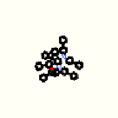 c1ccc(-c2ccc(N(c3ccc(-c4ccccc4)cc3)c3cc(N(c4ccc(-c5ccccc5)cc4)c4ccc(-c5ccccc5)cc4)cc(C4(c5cc(-c6ccccc6)cc(-c6ccccc6)c5)c5ccccc5-c5ccccc54)c3)cc2)cc1